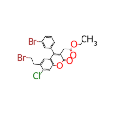 CCOC(=O)Cc1c(-c2cccc(Br)c2)c2cc(CCBr)c(Cl)cc2oc1=O